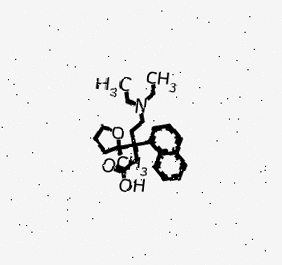 CCN(CC)CCC(CC(=O)O)(c1cccc2ccccc12)C1(C)CCCO1